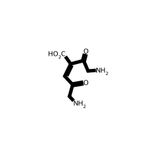 NCC(=O)C=C(C(=O)O)C(=O)CN